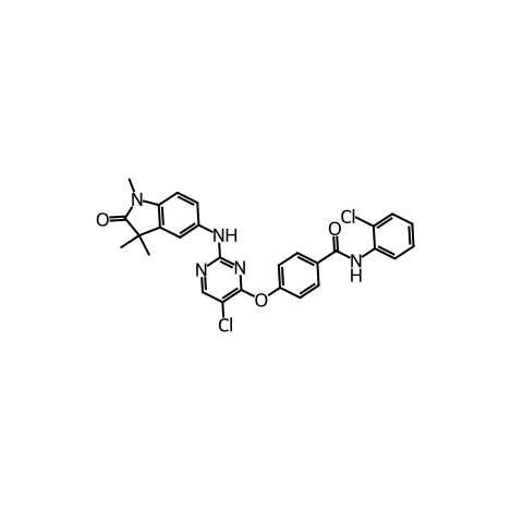 CN1C(=O)C(C)(C)c2cc(Nc3ncc(Cl)c(Oc4ccc(C(=O)Nc5ccccc5Cl)cc4)n3)ccc21